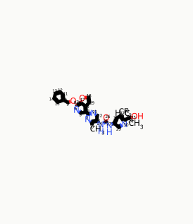 Cc1nc(-c2cnc(OCc3ccccc3)c3occc23)ncc1NC(=O)Nc1cnc(C(C)(C)O)c(C(F)(F)F)c1